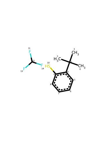 CC(C)(C)c1ccccc1S.FC(F)F